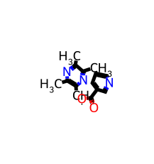 Cc1nc(C)c(C)nc1C.[O]C(=O)c1cccnc1